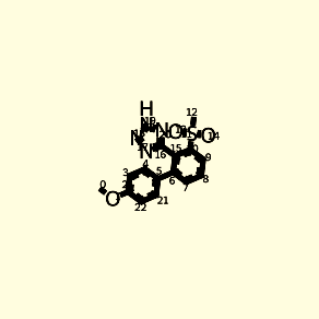 COc1ccc(-c2cccc(S(C)(=O)=O)c2-c2nn[nH]n2)cc1